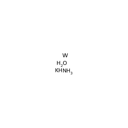 N.O.[KH].[W]